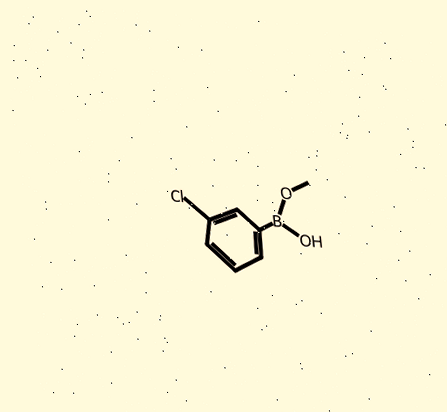 COB(O)c1cccc(Cl)c1